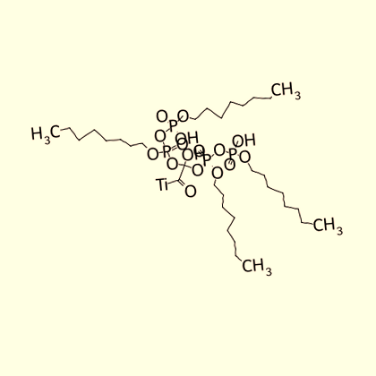 CCCCCCCCOP(=O)(O)OP(=O)(OCCCCCCCC)OC(O)(OP(=O)(OCCCCCCCC)OP(=O)(O)OCCCCCCCC)[C](=O)[Ti]